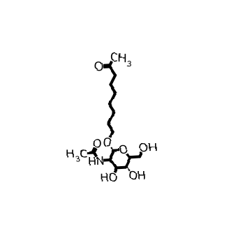 CC(=O)CCCCCCCO[C@@H]1OC(CO)[C@H](O)C(O)C1NC(C)=O